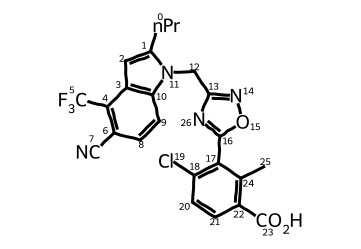 CCCc1cc2c(C(F)(F)F)c(C#N)ccc2n1Cc1noc(-c2c(Cl)ccc(C(=O)O)c2C)n1